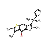 CC1=C(C(C)(C)C2=CC=CC2)c2cc3sc(C)c(C)c3c(Br)c2C1